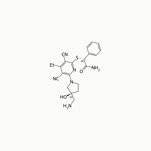 CCc1c(C#N)c(S[C@@H](C(N)=O)c2ccccc2)nc(N2CC[C@](O)(CN)C2)c1C#N